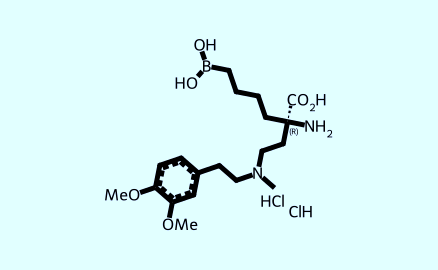 COc1ccc(CCN(C)CC[C@](N)(CCCCB(O)O)C(=O)O)cc1OC.Cl.Cl